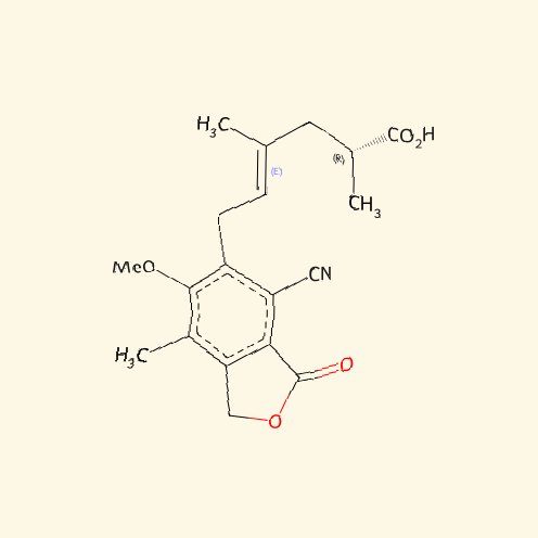 COc1c(C)c2c(c(C#N)c1C/C=C(\C)C[C@@H](C)C(=O)O)C(=O)OC2